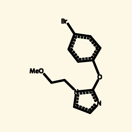 COCCn1ccnc1Oc1ccc(Br)cc1